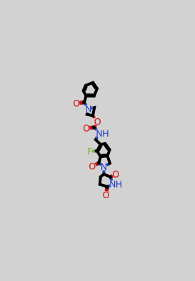 O=C1CCC(N2Cc3ccc(CNC(=O)OC4CN(C(=O)c5ccccc5)C4)c(F)c3C2=O)C(=O)N1